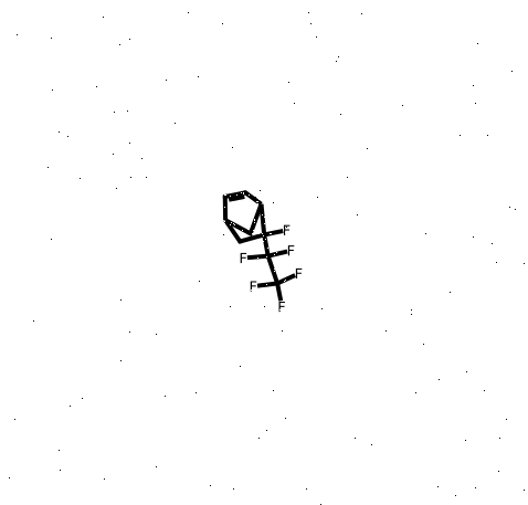 FC(F)(F)C(F)(F)C1(F)CC2C=CC1C2